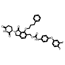 O=C1CC[C@H](N2Cc3ccc(COC(=O)Nc4ccc(Oc5ccc(F)c(F)c5)cc4)c(OCCCc4ccccc4)c3C2=O)C(=O)N1